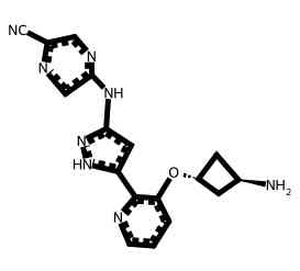 N#Cc1cnc(Nc2cc(-c3ncccc3O[C@H]3C[C@H](N)C3)[nH]n2)cn1